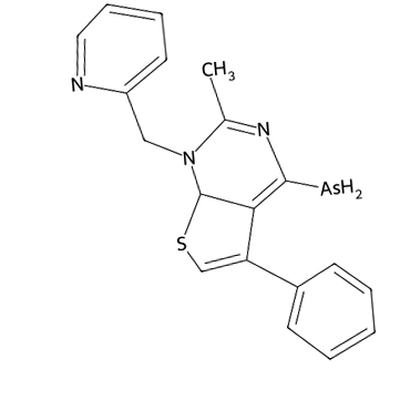 CC1=NC([AsH2])=C2C(c3ccccc3)=CSC2N1Cc1ccccn1